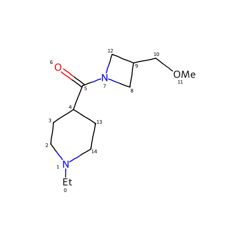 CCN1CCC(C(=O)N2CC(COC)C2)CC1